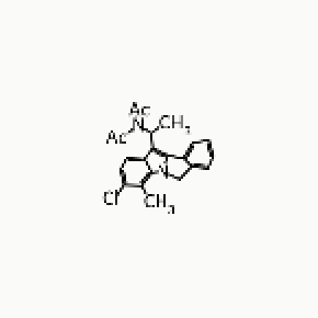 CC(=O)N(C(C)=O)C(C)c1c2n(c3c(C)c(Cl)ccc13)Cc1ccccc1-2